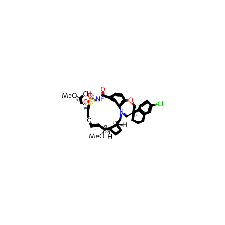 CO[C@H](C)C[C@H]1CC/C=C/[C@H](OC)[C@@H]2CC[C@H]2CN2C[C@@]3(CCCc4cc(Cl)ccc43)COc3ccc(cc32)C(=O)NS1(=O)=O